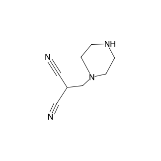 N#CC(C#N)CN1CCNCC1